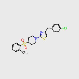 O=S(=O)(c1ccccc1C(F)(F)F)C1CCN(c2nc(Cc3ccc(Cl)cc3)cs2)CC1